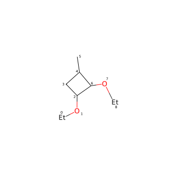 CCOC1CC(C)C1OCC